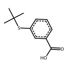 CC(C)(C)Sc1cccc(C(=O)O)c1